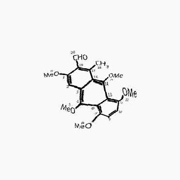 COc1cc2c(OC)c3c(OC)ccc(OC)c3c(OC)c2c(C)c1C=O